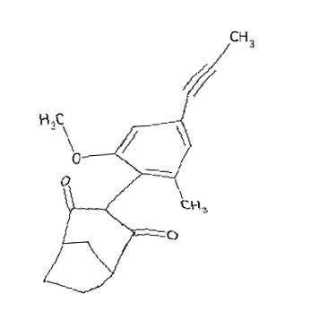 CC#Cc1cc(C)c(C2C(=O)C3CCC(C3)C2=O)c(OC)c1